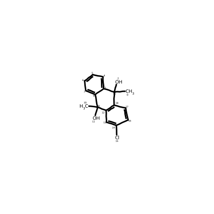 CC1(O)c2ccccc2C(C)(O)c2cc(Cl)ccc21